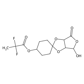 CC(F)(F)C(=O)OC1CCC2(CC1)OC1C(=O)OC(O)C1O2